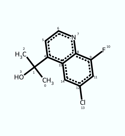 CC(C)(O)c1ccnc2c(F)cc(Cl)cc12